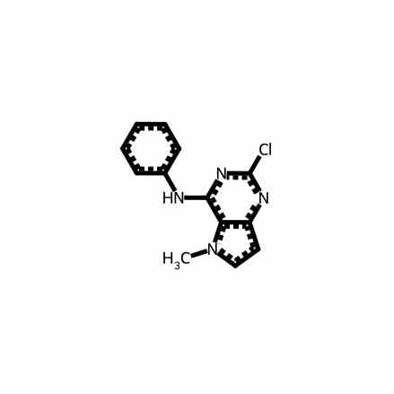 Cn1ccc2nc(Cl)nc(Nc3ccccc3)c21